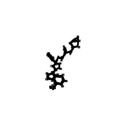 N#C[C@@]1(COC(=O)OC2CC3CC3C2)CCC(c2ccc3c(N)ncnn23)O1